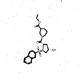 CCOC(=O)C1CCCN(C(=O)[C@@H]2C[C@H](S)CN2S(=O)(=O)c2ccc3ccccc3c2)C1